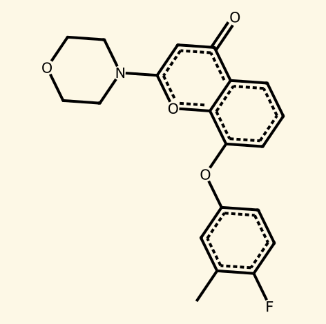 Cc1cc(Oc2cccc3c(=O)cc(N4CCOCC4)oc23)ccc1F